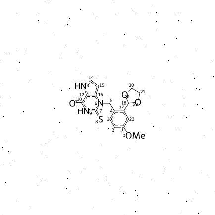 COc1ccc(Cn2c(=S)[nH]c(=O)c3[nH]ccc32)c(C2OCCO2)c1